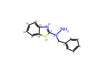 NN(Cc1ccccc1)c1nc2ccccc2s1